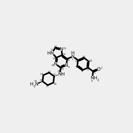 NC(=O)c1ccc(Nc2nc(N[C@H]3CC[C@H](N)CC3)nc3[nH]cnc23)cc1